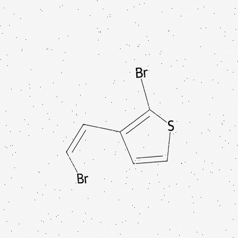 Br/C=C\c1ccsc1Br